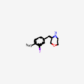 COc1ccc(CC2COCCN2)cc1I